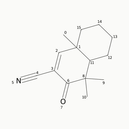 CC12C=C(C#N)C(=O)C(C)(C)C1CCCC2